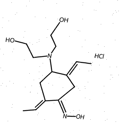 CC=C1CC(N(CCO)CCO)C(=CC)CC1=NO.Cl